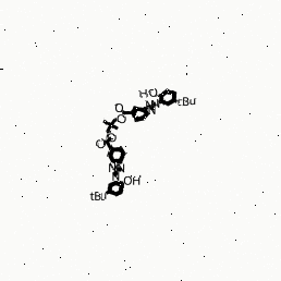 CC(C)(COC(=O)c1ccc2c(c1)n1n(-c3cc(C(C)(C)C)ccc3O)n21)COC(=O)c1ccc2c(c1)n1n(-c3cc(C(C)(C)C)ccc3O)n21